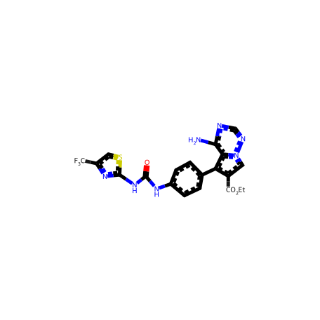 CCOC(=O)c1cn2ncnc(N)c2c1-c1ccc(NC(=O)Nc2nc(C(F)(F)F)cs2)cc1